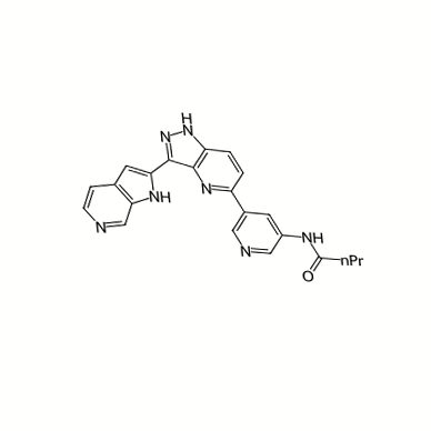 CCCC(=O)Nc1cncc(-c2ccc3[nH]nc(-c4cc5ccncc5[nH]4)c3n2)c1